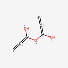 C=C=C(O)OC(O)=C=C